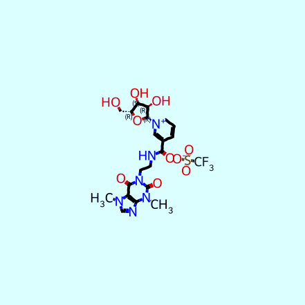 Cn1cnc2c1c(=O)n(CCNC(=O)c1ccc[n+]([C@@H]3O[C@H](CO)[C@@H](O)[C@H]3O)c1)c(=O)n2C.O=S(=O)([O-])C(F)(F)F